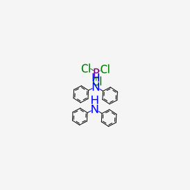 ClP(Cl)Cl.c1ccc(Nc2ccccc2)cc1.c1ccc(Nc2ccccc2)cc1